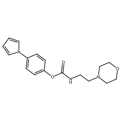 O=C(NCCN1CCOCC1)Oc1ccc(-n2cccc2)cc1